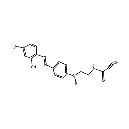 C#CC(=O)NCCN(CC)c1ccc(N=Nc2ccc([N+](=O)[O-])cc2C#N)cc1